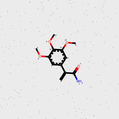 C=C(C(N)=O)c1cc(OC)c(OC)c(OC)c1